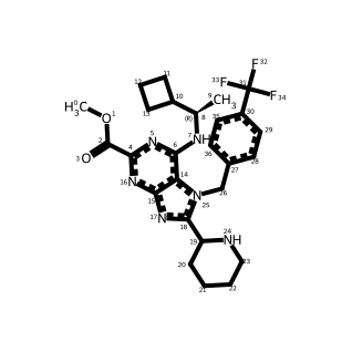 COC(=O)c1nc(N[C@H](C)C2CCC2)c2c(n1)nc(C1CCCCN1)n2Cc1ccc(C(F)(F)F)cc1